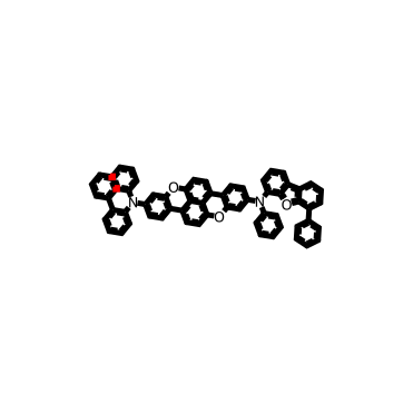 c1ccc(-c2ccccc2N(c2ccccc2)c2ccc3c(c2)Oc2ccc4c5c(ccc-3c25)Oc2cc(N(c3ccccc3)c3cccc5c3oc3c(-c6ccccc6)cccc35)ccc2-4)cc1